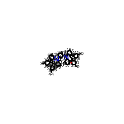 Cc1ccc([Si]2(c3ccc(C)cc3)c3ccccc3N(c3cccc(N4c5ccccc5[Si](c5ccc(C)cc5)(c5ccc(C)cc5)c5ccccc54)c3)c3ccccc32)cc1